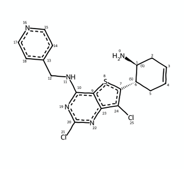 N[C@H]1CC=CC[C@@H]1c1sc2c(NCc3ccncc3)nc(Cl)nc2c1Cl